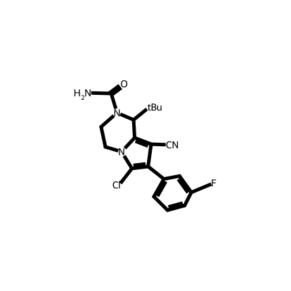 CC(C)(C)C1c2c(C#N)c(-c3cccc(F)c3)c(Cl)n2CCN1C(N)=O